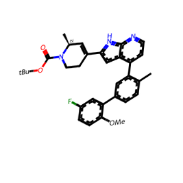 COc1ccc(F)cc1-c1ccc(C)c(-c2ccnc3[nH]c(C4=C[C@H](C)N(C(=O)OC(C)(C)C)CC4)cc23)c1